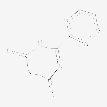 O=C1CC(=O)NC(c2ncccn2)=N1